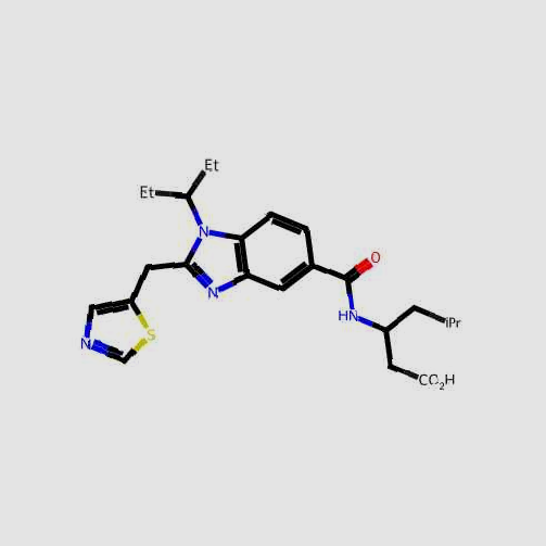 CCC(CC)n1c(Cc2cncs2)nc2cc(C(=O)NC(CC(=O)O)CC(C)C)ccc21